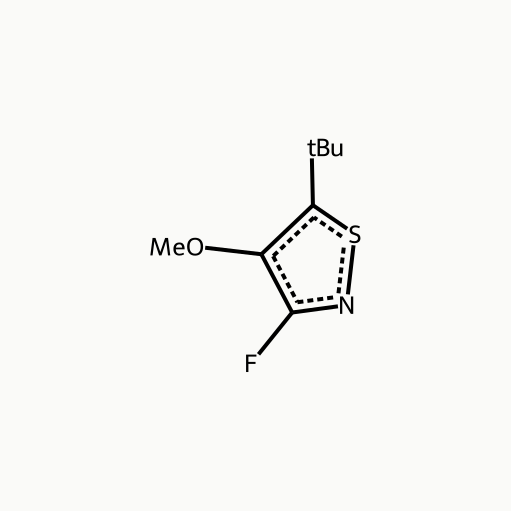 COc1c(F)nsc1C(C)(C)C